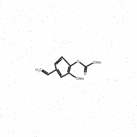 C=Cc1ccc(OC(=O)OC)c(OC)c1